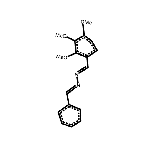 COc1ccc(C=NN=Cc2ccccc2)c(OC)c1OC